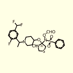 CC(c1cc(C(F)F)ccc1F)N1CCC(O[C@@]2(N(OC=O)S(=O)(=O)c3ccccc3)CSCN2Cl)CC1